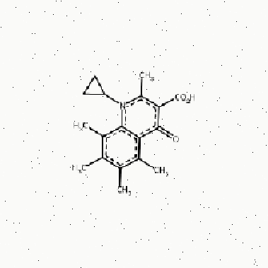 Cc1c(C)c(C)c2c(c1C)c(=O)c(C(=O)O)c(C)n2C1CC1